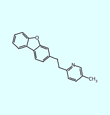 Cc1ccc(CCc2ccc3c(c2)oc2ccccc23)nc1